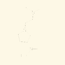 CN(C)CCN1CC[C@@H](N(C)C)C1